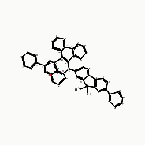 CC1(C)c2cc(-c3ccccc3)ccc2-c2ccc(N(c3ccccc3)c3c(-c4cccc(-c5ccccc5)c4)c4ccccc4c4ccccc34)cc21